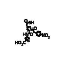 O=C(S)C[C@@H]1C[C@@H](C(=O)Nc2csc(C(=O)O)c2)N(C(=O)Cc2ccc([N+](=O)[O-])cc2)C1